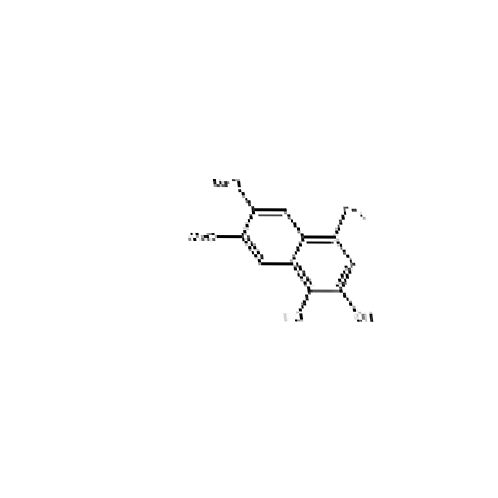 COc1cc2c(C)nc(O)c(O)c2cc1OC